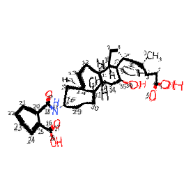 C[C@H](CCC(=O)O)[C@H]1CC[C@H]2[C@@H]3CC[C@@H]4C[C@@H](NC(=O)c5ccccc5C(=O)O)CC[C@]4(C)[C@H]3C[C@H](O)[C@]12C